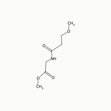 COCCC(=O)NCC(=O)OC